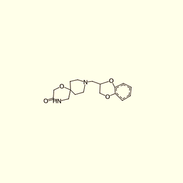 O=C1COC2(CCN(CC3COc4ccccc4O3)CC2)CN1